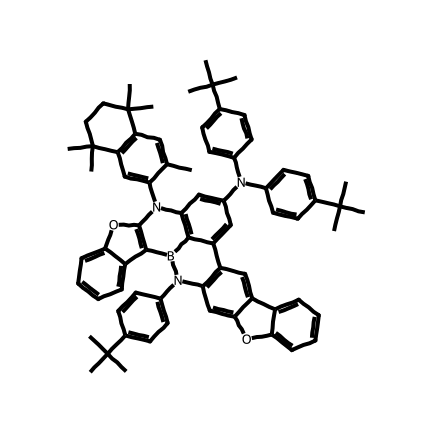 Cc1cc2c(cc1N1c3cc(N(c4ccc(C(C)(C)C)cc4)c4ccc(C(C)(C)C)cc4)cc4c3B(c3c1oc1ccccc31)N(c1ccc(C(C)(C)C)cc1)c1cc3oc5ccccc5c3cc1-4)C(C)(C)CCC2(C)C